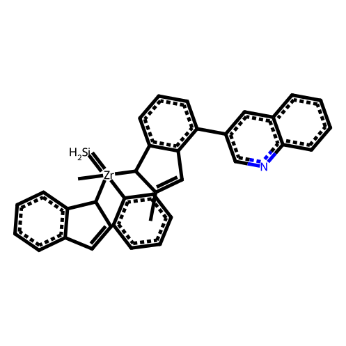 CC1=Cc2c(-c3cnc4ccccc4c3)cccc2[CH]1[Zr]([CH3])(=[SiH2])([c]1ccccc1)[CH]1C=Cc2ccccc21